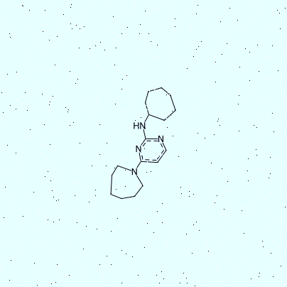 c1cc(N2CCCCCC2)nc(NC2CCCCCC2)n1